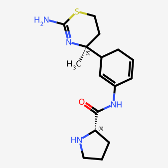 C[C@@]1(C2C=C(NC(=O)[C@@H]3CCCN3)C=CC2)CCSC(N)=N1